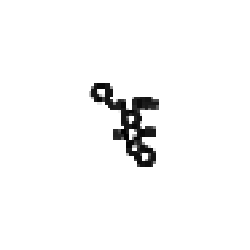 COc1cc(C(=O)N2CCc3ccccc32)c(N=O)cc1OCc1ccccc1